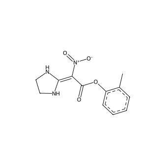 Cc1ccccc1OC(=O)C(=C1NCCN1)[N+](=O)[O-]